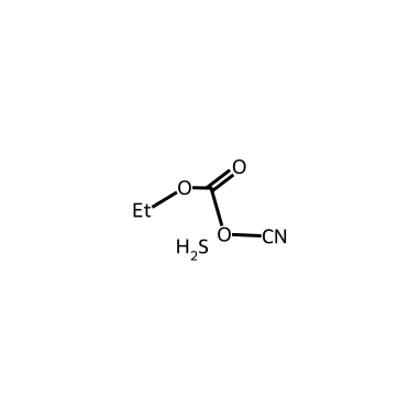 CCOC(=O)OC#N.S